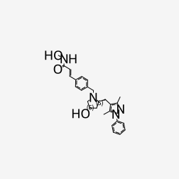 Cc1nn(-c2ccccc2)c(C)c1C[C@H]1C[C@H](O)CN1Cc1ccc(C=CC(=O)NO)cc1